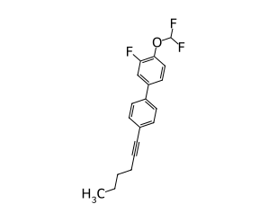 CCCCC#Cc1ccc(-c2ccc(OC(F)F)c(F)c2)cc1